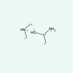 CC(N)O.CNC